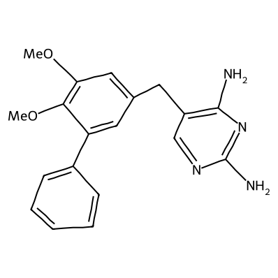 COc1cc(Cc2cnc(N)nc2N)cc(-c2ccccc2)c1OC